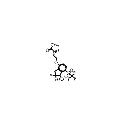 CC(=O)NCCOc1ccc(S(=O)(=O)C(F)(F)F)c2c1CC(F)(F)C2O